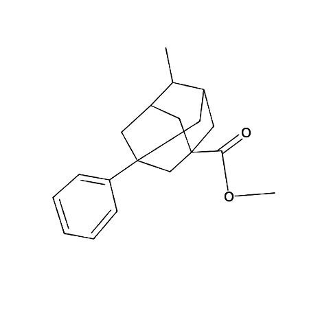 COC(=O)C12CC3CC(c4ccccc4)(CC(C1)C3C)C2